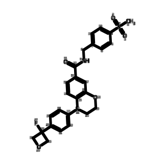 CS(=O)(=O)c1ccc(CNC(=O)c2ccc3c(c2)OCCN3c2ccc(C3(F)COC3)cc2)cc1